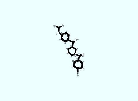 O=C(c1ccc(OC(F)F)cc1)C1CCCN(C(=O)c2ccc(F)cc2)C1